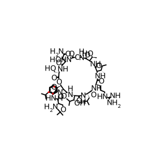 CC[C@H](C)C1NC(=O)[C@@H](CCCNC(=N)N)NC(=O)[C@H](CC(C)C)NC(=O)[C@H]([C@H](O)C(C)C)NC(=O)[C@@H](NC(=O)[C@H](CC(C)C)NC(=O)[C@@H](N)COC(C)(C)C)[C@@H](c2ccccc2)OC(=O)[C@H](CO)NC(=O)[C@H]([C@H](O)C(N)=O)NC(=O)CNC(=O)C([C@H](C)O)NC1=O